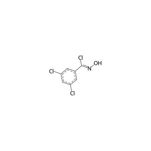 ON=C(Cl)c1cc(Cl)cc(Cl)c1